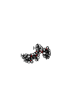 CC[Si](CC)(CC)O[C@H]1C[C@H]2OC[C@@]2(OC(C)=O)C2[C@H](OC(=O)c3ccccc3)[C@]3(O)C[C@H](OC(=O)[C@H](O[Si](C[Si](O[C@@H](C(=O)O[C@H]4C[C@@]5(O)[C@@H](OC(=O)c6ccccc6)C6[C@@](C)([C@@H](O[Si](CC)(CC)CC)C[C@H]7OC[C@@]67OC(C)=O)[C@@H](O)[C@H](C)C(=C4C)C5(C)C)[C@@H](NC(=O)OC(C)(C)C)c4ccccc4)(C(C)C)C(C)C)(C(C)C)C(C)C)[C@@H](NC(=O)OC(C)(C)C)c4ccccc4)C(C)=C([C@@H](C)[C@H](O)[C@@]21C)C3(C)C